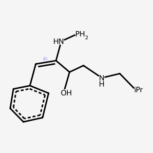 CC(C)CNCC(O)/C(=C\c1ccccc1)NP